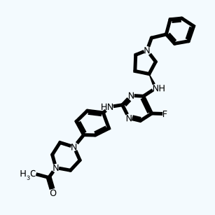 CC(=O)N1CCN(c2ccc(Nc3ncc(F)c(N[C@H]4CCN(Cc5ccccc5)C4)n3)cc2)CC1